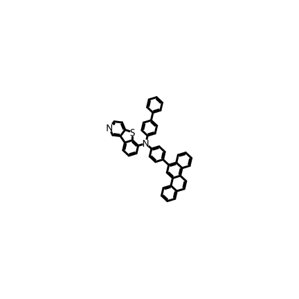 c1ccc(-c2ccc(N(c3ccc(-c4cc5c6ccccc6ccc5c5ccccc45)cc3)c3cccc4c3sc3ccncc34)cc2)cc1